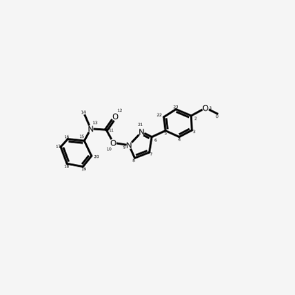 COc1ccc(-c2ccn(OC(=O)N(C)c3ccccc3)n2)cc1